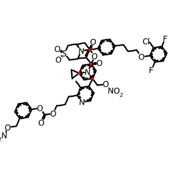 Cc1c(CN(C(=O)C2=C(c3ccc(CCCOc4c(F)ccc(F)c4Cl)cc3)CC3CS(=O)(=O)CC2N3C(=O)Oc2cccc(CO[N+](=O)[O-])c2)C2CC2)ccnc1CCCOC(=O)Oc1cccc(CO[N+](=O)[O-])c1